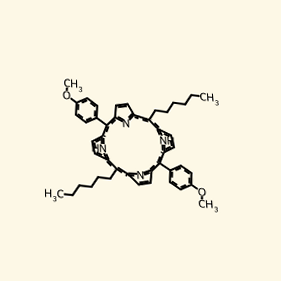 CCCCCCc1c2nc(c(-c3ccc(OC)cc3)c3ccc([nH]3)c(CCCCCC)c3nc(c(-c4ccc(OC)cc4)c4ccc1[nH]4)C=C3)C=C2